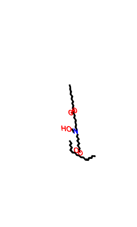 CCCC/C=C\CCC(CC/C=C\CCCC)OC(=O)CCCCCCCN(CCO)CCCCCCCC(=O)OCCCCCCCCCCC